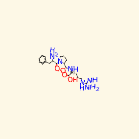 N=C(N)NCCC[C@@H](NC(=O)C1CCCN1C(=O)C(N)Cc1ccccc1)C(=O)O